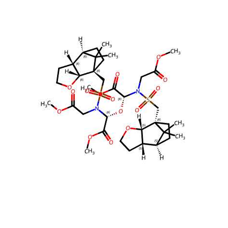 COC(=O)CN([C@H](O[C@H](C(=O)OC)N(CC(=O)OC)S(=O)(=O)C[C@@]12CC[C@@H]([C@@H]3CCO[C@@H]31)C2(C)C)C(=O)OC)S(=O)(=O)C[C@@]12CC[C@H]([C@H]3CCO[C@H]31)C2(C)C